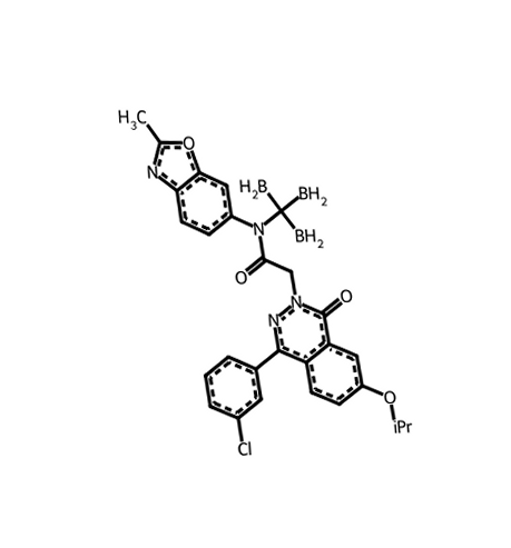 BC(B)(B)N(C(=O)Cn1nc(-c2cccc(Cl)c2)c2ccc(OC(C)C)cc2c1=O)c1ccc2nc(C)oc2c1